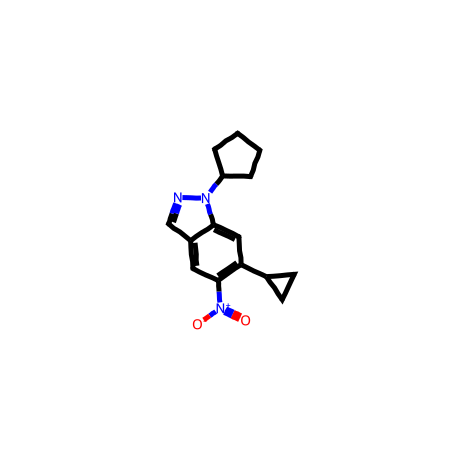 O=[N+]([O-])c1cc2cnn(C3CCCC3)c2cc1C1CC1